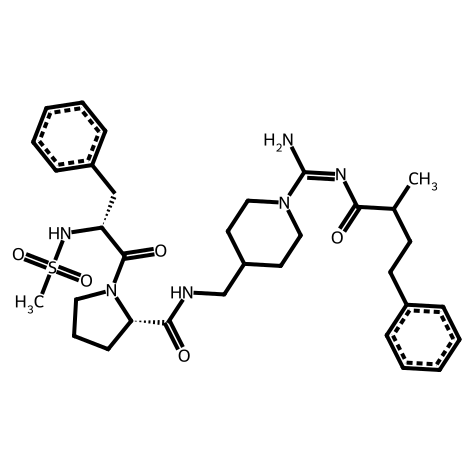 CC(CCc1ccccc1)C(=O)/N=C(/N)N1CCC(CNC(=O)[C@@H]2CCCN2C(=O)[C@@H](Cc2ccccc2)NS(C)(=O)=O)CC1